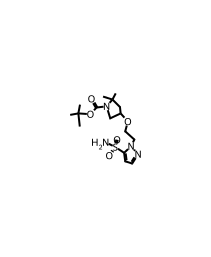 CC(C)(C)OC(=O)N1CC(OCCn2nccc2S(N)(=O)=O)CC1(C)C